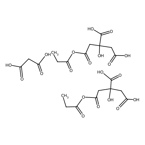 CCC(=O)OC(=O)CC(O)(CC(=O)O)C(=O)O.CCC(=O)OC(=O)CC(O)(CC(=O)O)C(=O)O.O=C(O)CC(=O)O